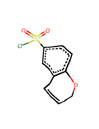 O=S(=O)(Cl)c1ccc2c(c1)C=CCO2